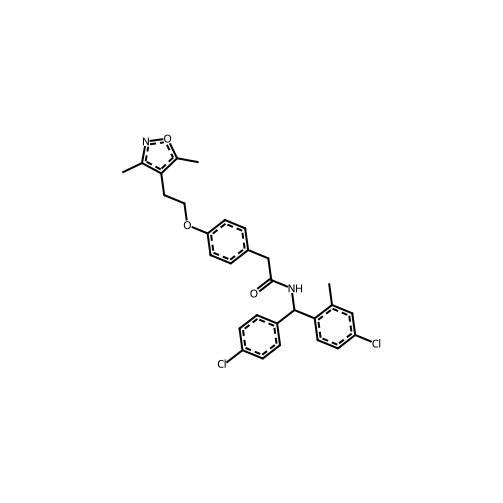 Cc1cc(Cl)ccc1C(NC(=O)Cc1ccc(OCCc2c(C)noc2C)cc1)c1ccc(Cl)cc1